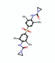 CC(C)(C)c1cc(S(=O)(=O)c2cc(C(C)(C)C)c(NC(=O)N3CC3)c(C(C)(C)C)c2)cc(C(C)(C)C)c1NC(=O)N1CC1